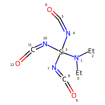 CCN(CC)[Si](N=C=O)(N=C=O)N=C=O